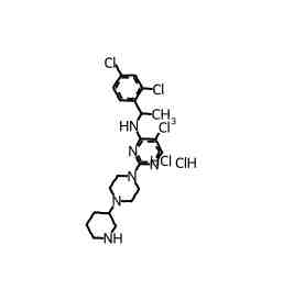 CC(Nc1nc(N2CCN(C3CCCNC3)CC2)ncc1Cl)c1ccc(Cl)cc1Cl.Cl.Cl